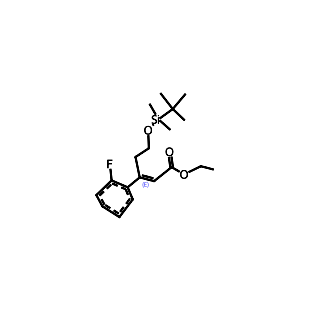 CCOC(=O)/C=C(\CCO[Si](C)(C)C(C)(C)C)c1ccccc1F